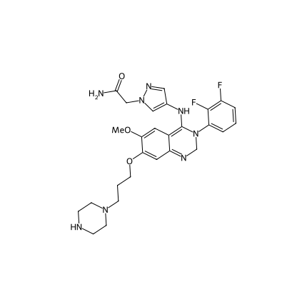 COc1cc2c(cc1OCCCN1CCNCC1)=NCN(c1cccc(F)c1F)C=2Nc1cnn(CC(N)=O)c1